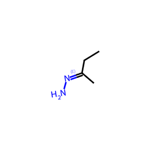 CC/C(C)=N/N